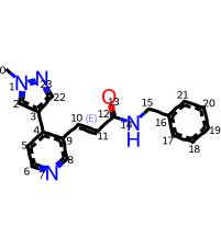 Cn1cc(-c2ccncc2/C=C/C(=O)NCc2ccccc2)cn1